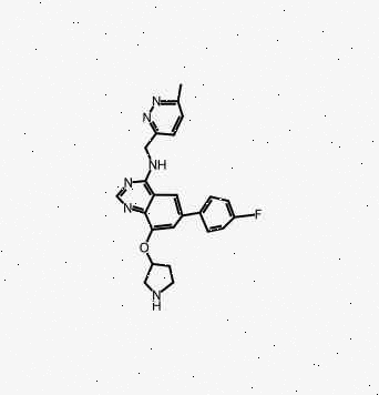 Cc1ccc(CNc2ncnc3c(OC4CCNC4)cc(-c4ccc(F)cc4)cc23)nn1